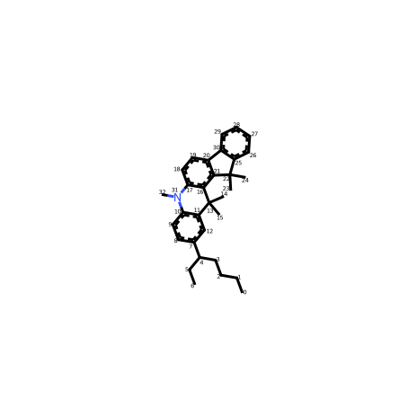 CCCCC(CC)c1ccc2c(c1)C(C)(C)c1c(ccc3c1C(C)(C)c1ccccc1-3)N2C